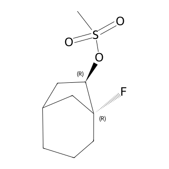 CS(=O)(=O)O[C@@H]1CC2CCC[C@@]1(F)C2